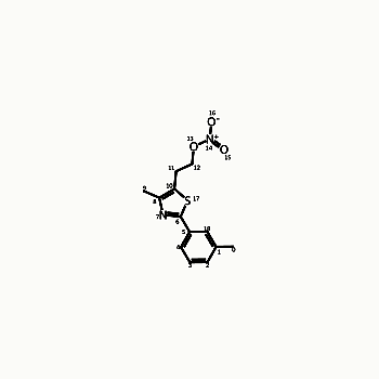 Cc1cccc(-c2nc(C)c(CCO[N+](=O)[O-])s2)c1